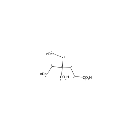 CCCCCCCCCCCC(CCCCCCCCCCC)(CCC(=O)O)C(=O)O